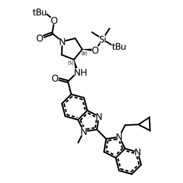 Cn1c(-c2cc3cccnc3n2CC2CC2)nc2cc(C(=O)N[C@H]3CN(C(=O)OC(C)(C)C)C[C@H]3O[Si](C)(C)C(C)(C)C)ccc21